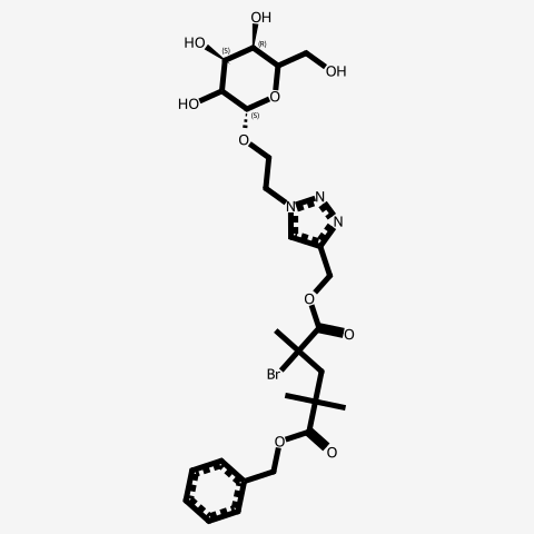 CC(C)(CC(C)(Br)C(=O)OCc1cn(CCO[C@H]2OC(CO)[C@H](O)[C@H](O)C2O)nn1)C(=O)OCc1ccccc1